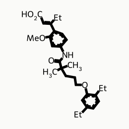 CCC(=CC(=O)O)c1ccc(NC(=O)C(C)(C)CCCOc2cc(CC)ccc2CC)cc1OC